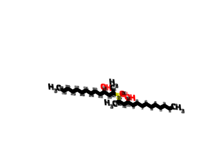 CCCCCCCCCCC(O)CC(C)[S+]([O-])C(C)CC(O)CCCCCCCCCC